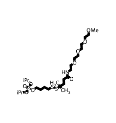 COCCOCCOCCOCCNC(=O)CCC(C)(C)SSCCCCOP(=O)(OC(C)C)OC(C)C